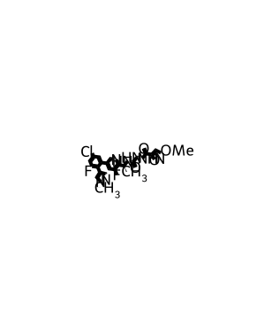 COc1cc(C(=O)NNC(=O)N[C@H](C)c2ncc(-c3cc(Cl)cc(F)c3-c3cnn(C)c3)cc2F)on1